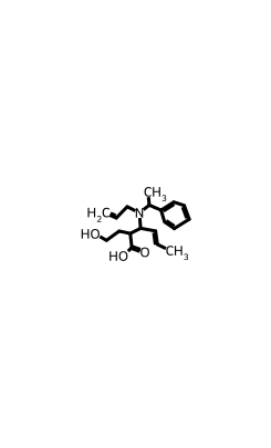 C=CCN(C(C)c1ccccc1)C(C=CC)C(CCO)C(=O)O